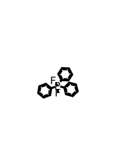 FP(F)(c1ccccc1)(c1ccccc1)c1ccccc1